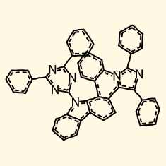 c1ccc(-c2nc(-c3ccccc3)nc(-n3c4ccccc4c4ccc5c(c6ccccc6n6c(-c7ccccc7)nc(-c7ccccc7)c56)c43)n2)cc1